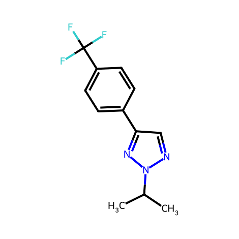 CC(C)n1ncc(-c2ccc(C(F)(F)F)cc2)n1